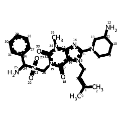 CC(C)=CCn1c(N2CCCC(N)C2)nc2c1c(=O)n(CS(=O)(=O)C(N)c1ccccc1)c(=O)n2C